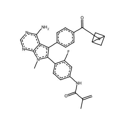 C=C(C)C(=O)Nc1ccc(-c2c(-c3ccc(C(=O)N4CC5CC4C5)cc3)c3c(N)ncnc3n2C)c(F)c1